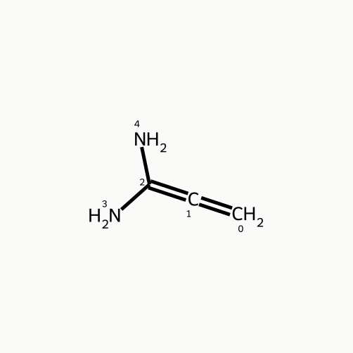 C=C=C(N)N